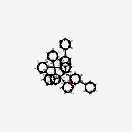 c1ccc(-c2ccc(N(c3ccc(-c4ccccc4)cc3)c3cccc4c3C3(c5ccccc5-c5cccc(N(c6ccccc6)c6ccccc6)c53)c3ccccc3-4)cc2)cc1